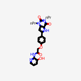 CCCn1c(=O)c2[nH]c(-c3ccc(OCC(=O)Nc4ncccc4O)cc3)cc2n(CCC)c1=O